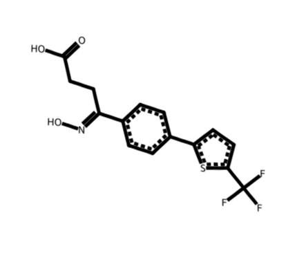 O=C(O)CCC(=NO)c1ccc(-c2ccc(C(F)(F)F)s2)cc1